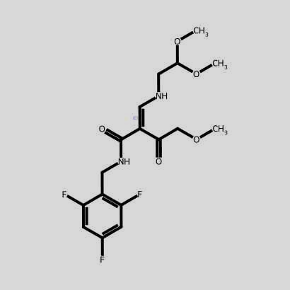 COCC(=O)/C(=C\NCC(OC)OC)C(=O)NCc1c(F)cc(F)cc1F